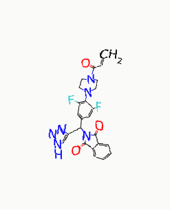 C=CC(=O)N1CCN(c2c(F)cc(C(c3c[nH]nn3)N3C(=O)c4ccccc4C3=O)cc2F)CC1